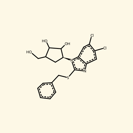 OCC1C[C@H](n2c(SCc3ccccc3)nc3cc(Cl)c(Cl)cc32)C(O)C1O